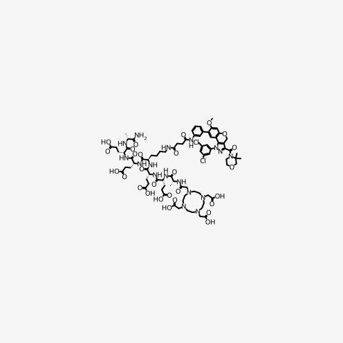 COc1cc2c(cc1-c1cccc(NC(=O)CCC(=O)NCCCC[C@@H](NC(=O)[C@@H](CCC(=O)O)NC(=O)[C@@H](CCC(=O)O)NC(=O)[C@@H](C)NC(=O)CN3CCN(CC(=O)O)CCN(CC(=O)O)CCN(CC(=O)O)CC3)C(=O)N[C@H](CCC(=O)O)C(=O)N[C@H](CCC(=O)O)C(=O)N[C@H](C)C(N)=O)c1)-c1c(c(C(=O)N3CCOCC3(C)C)nn1-c1cc(Cl)cc(Cl)c1)CO2